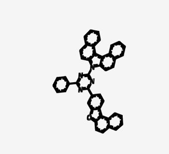 c1ccc(-c2nc(-c3ccc4c(c3)oc3ccc5ccccc5c34)nc(-n3c4ccc5ccccc5c4c4c5ccccc5ccc43)n2)cc1